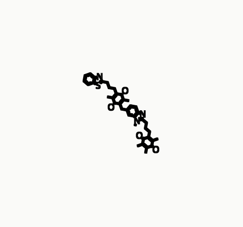 CC1=C(C)C(=O)C(CCCc2nc3ccc(CC4=C(C)C(=O)C(CCCc5nc6ccccc6s5)=C(C)C4=O)cc3n2C)=C(C)C1=O